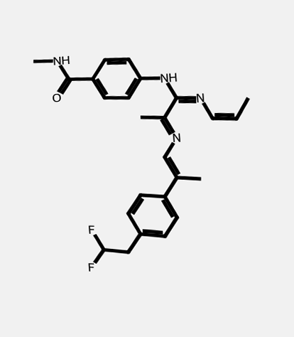 C\C=C/N=C(Nc1ccc(C(=O)NC)cc1)\C(C)=N\C=C(/C)c1ccc(CC(F)F)cc1